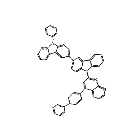 C1=CC(c2ccccc2)CC=C1c1cc(-n2c3ccccc3c3cc(-c4ccc5c(c4)c4ccccc4n5-c4ccccc4)ccc32)nc2ncccc12